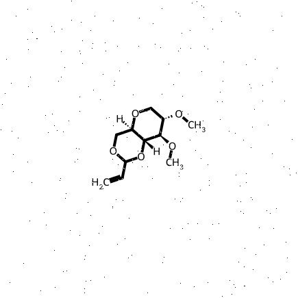 C=CC1OC[C@H]2OC[C@H](OC)[C@@H](OC)[C@@H]2O1